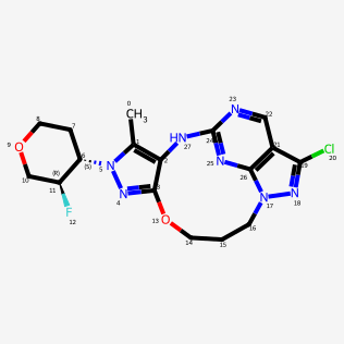 Cc1c2c(nn1[C@H]1CCOC[C@@H]1F)OCCCn1nc(Cl)c3cnc(nc31)N2